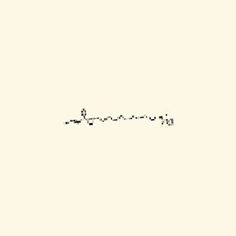 CC=CC(=O)OCCCCCCCCCCC[Si](C)(C)Cl